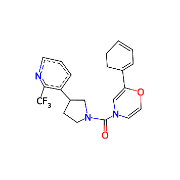 O=C(N1C=COC(C2=CC=CCC2)=C1)N1CCC(c2cccnc2C(F)(F)F)C1